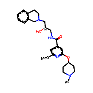 COc1cc(C(=O)NC[C@H](O)CN2CCc3ccccc3C2)cc(OC2CCN(C(C)=O)CC2)n1